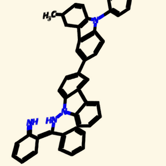 CC1C=Cc2c(c3cc(-c4ccc5c(c4)c4ccccc4n5N/C(=C4/C=CC=CC4=N)c4ccccc4)ccc3n2-c2ccccc2)C1